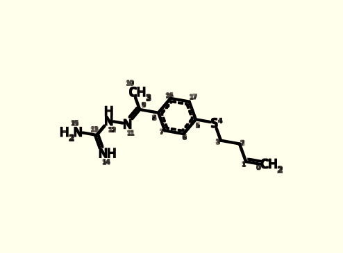 C=CCCSc1ccc(C(C)=NNC(=N)N)cc1